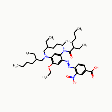 CCCCC(CC)CN(CC(CC)CCCC)c1cc(NC(=O)C(CC)CCCC)c(N=Nc2ccc(C(=O)O)cc2[N+](=O)[O-])cc1OCC